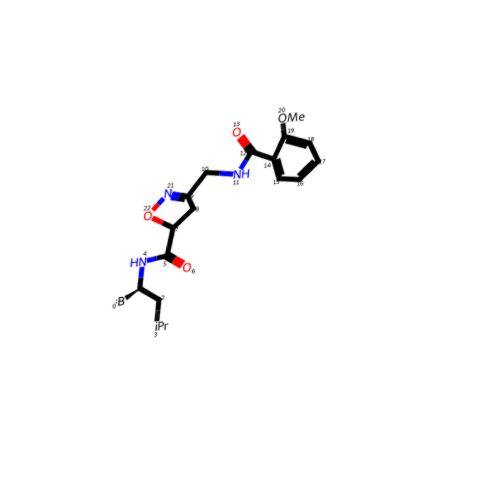 [B][C@H](CC(C)C)NC(=O)C1CC(CNC(=O)c2ccccc2OC)=NO1